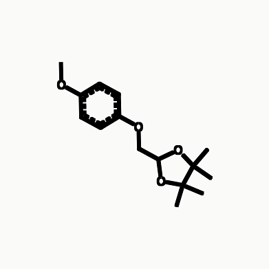 COc1ccc(OCC2OC(C)(C)C(C)(C)O2)cc1